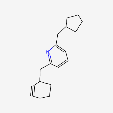 C1#CC(Cc2cccc(CC3CCCC3)n2)CCC1